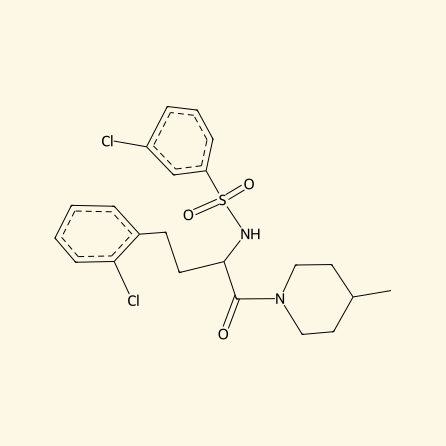 CC1CCN(C(=O)C(CCc2ccccc2Cl)NS(=O)(=O)c2cccc(Cl)c2)CC1